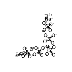 O=S(=O)([O-])[O-].O=S(=O)([O-])[O-].O=S(=O)([O-])[O-].O=S(=O)([O-])[O-].O=S(=O)([O-])[O-].[Al+3].[Fe+2].[Na+].[Ti+4]